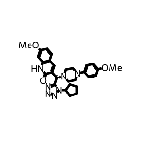 COc1ccc(N2CCN([C@H](c3cc4ccc(OC)cc4[nH]c3=O)c3nnnn3C3CCCC3)CC2)cc1